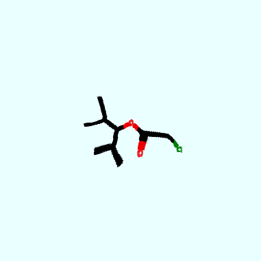 CC(C)C(OC(=O)CCl)C(C)C